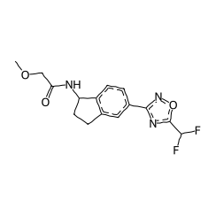 COCC(=O)NC1CCc2cc(-c3noc(C(F)F)n3)ccc21